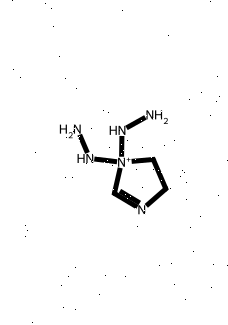 NN[N+]1(NN)C=NCC1